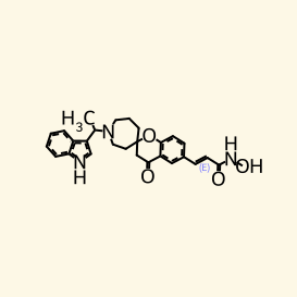 CC(c1c[nH]c2ccccc12)N1CCCC2(CC1)CC(=O)c1cc(/C=C/C(=O)NO)ccc1O2